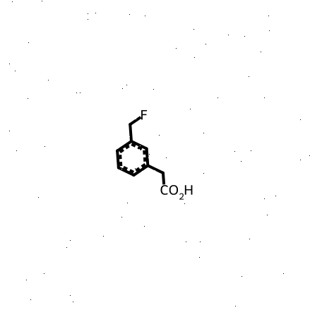 O=C(O)Cc1cccc(CF)c1